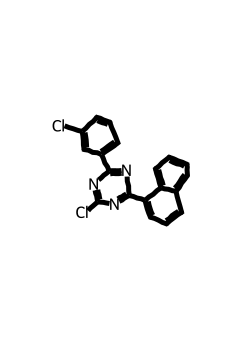 Clc1cccc(-c2nc(Cl)nc(-c3cccc4ccccc34)n2)c1